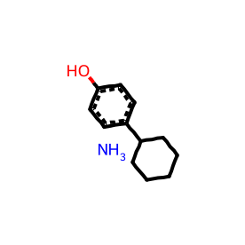 N.Oc1ccc(C2CCCCC2)cc1